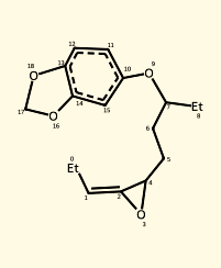 CCC=C1OC1CCC(CC)Oc1ccc2c(c1)OCO2